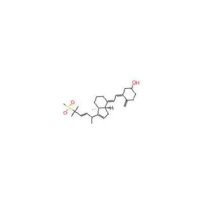 C=C1CCC(O)C/C1=C/C=C1\CCC[C@]2(C)C(C(C)/C=C/C(C)(C)S(C)(=O)=O)=CC[C@@H]12